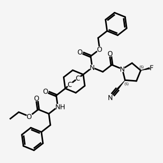 CCOC(=O)C(Cc1ccccc1)NC(=O)C12CCC(N(CC(=O)N3C[C@@H](F)C[C@H]3C#N)C(=O)OCc3ccccc3)(CC1)CC2